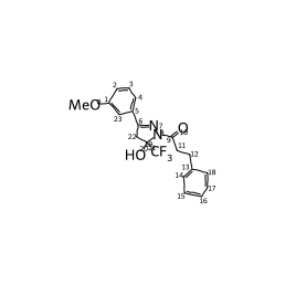 COc1cccc(C2=NN(C(=O)CCc3ccccc3)C(O)(C(F)(F)F)C2)c1